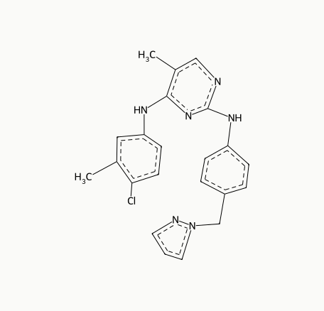 Cc1cc(Nc2nc(Nc3ccc(Cn4cccn4)cc3)ncc2C)ccc1Cl